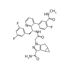 CNC(=O)c1cc(-c2cccnc2[C@H](Cc2cc(F)cc(F)c2)NC(=O)Cn2nc(C(N)=O)c3c2CC2CC32)ccc1F